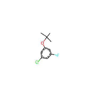 CC(C)(C)Oc1cc(F)cc(Cl)c1